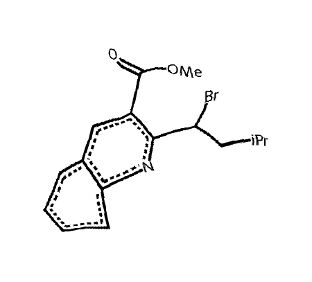 COC(=O)c1cc2ccccc2nc1C(Br)CC(C)C